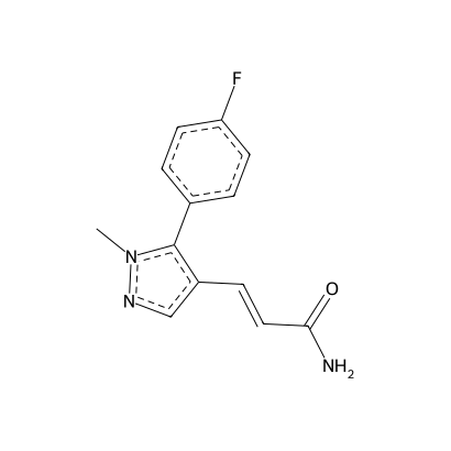 Cn1ncc(C=CC(N)=O)c1-c1ccc(F)cc1